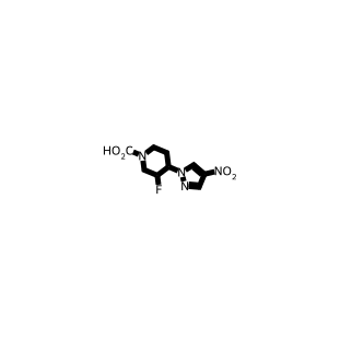 O=C(O)N1CCC(n2cc([N+](=O)[O-])cn2)C(F)C1